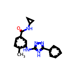 Cc1ccc(C(=O)NC2CC2)cc1Nc1nnc(-c2ccccc2)[nH]1